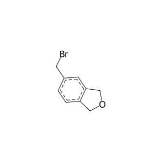 BrCc1ccc2c(c1)COC2